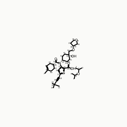 CC(C)OC(C)C.CC1=CC[C@H](C(=O)N(c2cc(C#CC(C)(C)C)sc2C(=O)O)[C@H]2CC[C@](O)(CO[C@H]3CCOC3)CC2)CC1